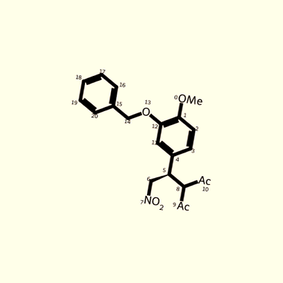 COc1ccc([C@H](C[N+](=O)[O-])C(C(C)=O)C(C)=O)cc1OCc1ccccc1